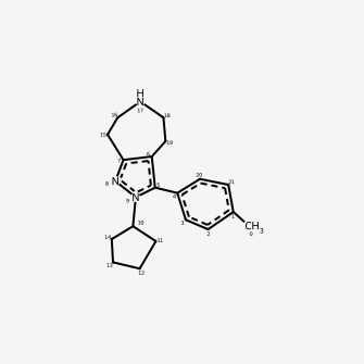 Cc1ccc(-c2c3c(nn2C2CCCC2)CCNCC3)cc1